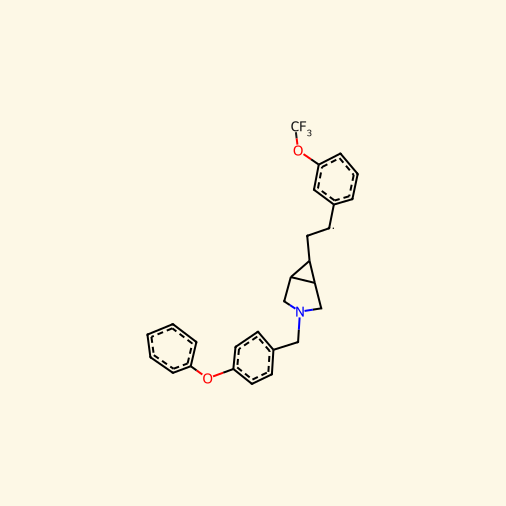 FC(F)(F)Oc1cccc([CH]CC2C3CN(Cc4ccc(Oc5ccccc5)cc4)CC23)c1